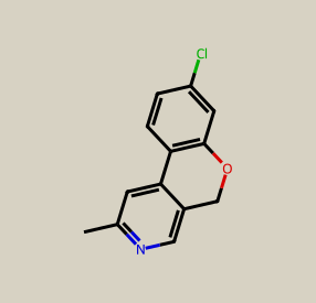 Cc1cc2c(cn1)COc1cc(Cl)ccc1-2